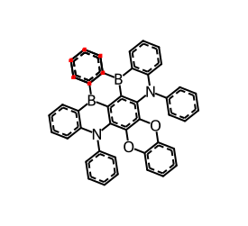 c1ccc(B2c3ccccc3N(c3ccccc3)c3c4c(c5c(c32)B(c2ccccc2)c2ccccc2N5c2ccccc2)Oc2ccccc2O4)cc1